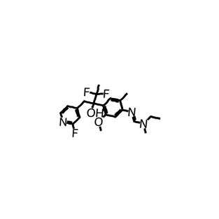 CCN(C)/C=N/c1cc(OC)c(C(O)(Cc2ccnc(F)c2)C(C)(F)F)cc1C